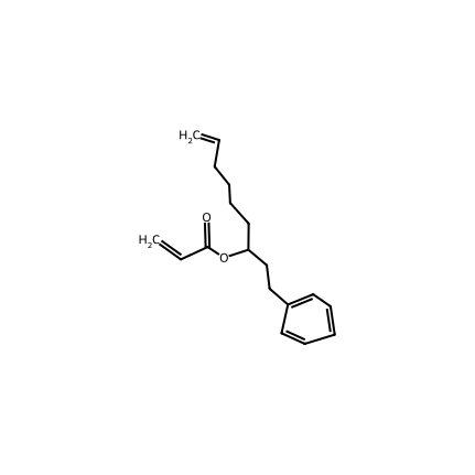 C=CCCCCC(CCc1ccccc1)OC(=O)C=C